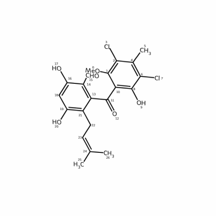 COc1c(Cl)c(C)c(Cl)c(O)c1C(=O)c1c(C=O)c(O)cc(O)c1CC=C(C)C